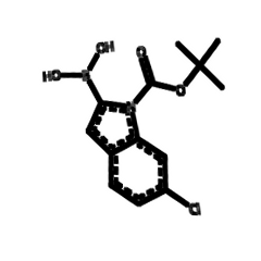 CC(C)(C)OC(=O)n1c(B(O)O)cc2ccc(Cl)cc21